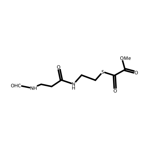 COC(=O)C(=O)SCCNC(=O)CCNC=O